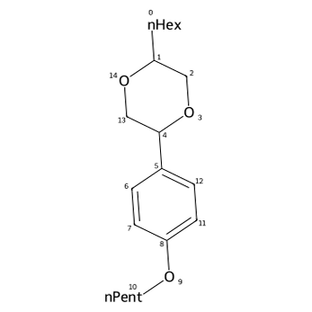 CCCCCCC1COC(c2ccc(OCCCCC)cc2)CO1